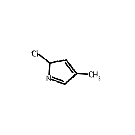 CC1=CC(Cl)N=C1